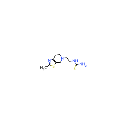 Cc1nc2c(s1)CN(CCNC(N)=S)CC2